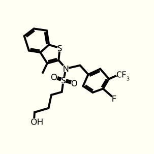 Cc1c(N(Cc2ccc(F)c(C(F)(F)F)c2)S(=O)(=O)CCCCO)sc2ccccc12